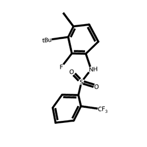 Cc1ccc(NS(=O)(=O)c2ccccc2C(F)(F)F)c(F)c1C(C)(C)C